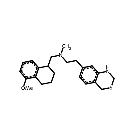 COc1cccc2c1CCCC2CN(C)CCc1ccc2c(c1)NCSC2